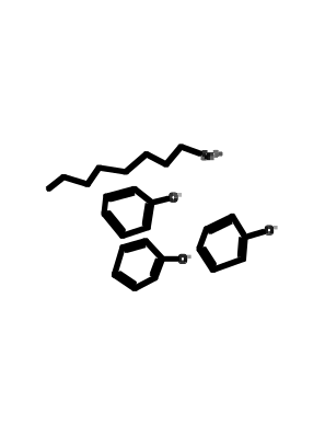 CCCCCCC[CH2][Sn+3].[O-]c1ccccc1.[O-]c1ccccc1.[O-]c1ccccc1